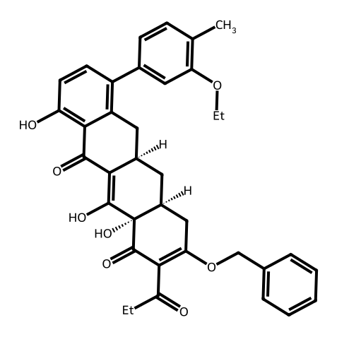 CCOc1cc(-c2ccc(O)c3c2C[C@H]2C[C@H]4CC(OCc5ccccc5)=C(C(=O)CC)C(=O)[C@@]4(O)C(O)=C2C3=O)ccc1C